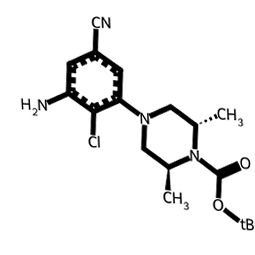 C[C@H]1CN(c2cc(C#N)cc(N)c2Cl)C[C@H](C)N1C(=O)OC(C)(C)C